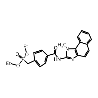 CCOP(=O)(Cc1ccc(C(=O)Nc2nc3ccc4ccccc4c3n2C)cc1)OCC